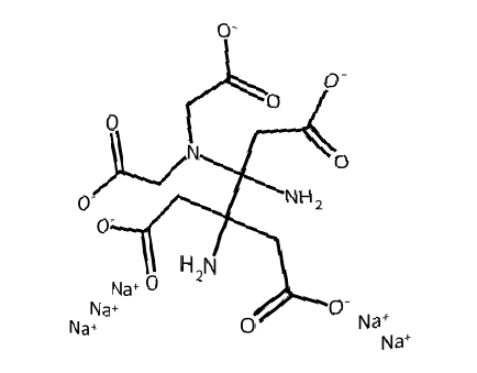 NC(CC(=O)[O-])(CC(=O)[O-])C(N)(CC(=O)[O-])N(CC(=O)[O-])CC(=O)[O-].[Na+].[Na+].[Na+].[Na+].[Na+]